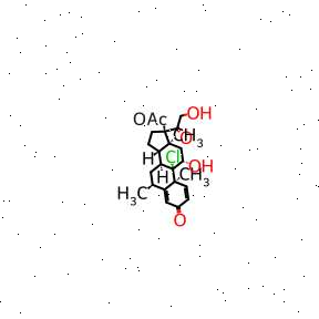 CC(=O)O[C@]1(C(=O)CO)CC[C@H]2[C@@H]3C[C@H](C)C4=CC(=O)C=C[C@]4(C)[C@@]3(Cl)[C@@H](O)C[C@@]21C